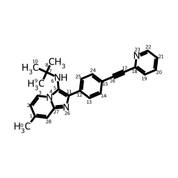 Cc1ccn2c(NC(C)(C)C)c(-c3ccc(C#Cc4ccccn4)cc3)nc2c1